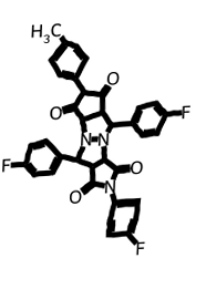 Cc1ccc(C2C(=O)C3C(C2=O)N2C(c4ccc(F)cc4)C4C(=O)N(c5ccc(F)cc5)C(=O)C4N2C3c2ccc(F)cc2)cc1